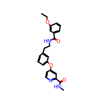 CCOc1cccc(C(=O)NCCc2cccc(Oc3ccnc(C(=O)NC)c3)c2)c1